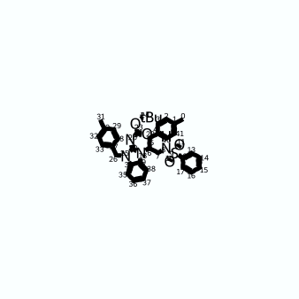 Cc1ccc(CC(CNS(=O)(=O)c2ccccc2)n2c(=NC(=O)OC(C)(C)C)n(Cc3ccc(C)cc3)c3ccccc32)cc1